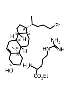 CC(C)CCCC(C)[C@H]1CC[C@H]2[C@@H]3CC=C4C[C@@H](O)CC[C@]4(C)[C@H]3CC[C@]12C.CCOC(=O)C(N)CCCNC(=N)N